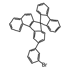 Brc1cccc(-c2ccc3c(c2)-c2c(ccc4ccccc24)C32c3ccccc3-c3ccccc32)c1